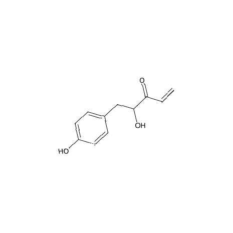 C=CC(=O)C(O)Cc1c[c]c(O)cc1